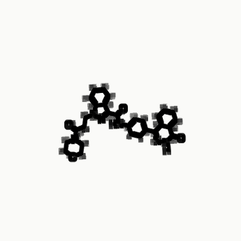 O=C(Nc1ccc(-c2n[nH]c(=O)c3ccccc23)cc1)c1nn(CCC(=O)N2CCOCC2)c2ccccc12